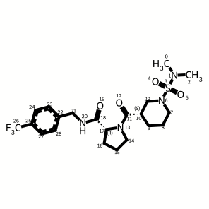 CN(C)S(=O)(=O)N1CCC[C@H](C(=O)N2CCC[C@@H]2C(=O)NCc2ccc(C(F)(F)F)cc2)C1